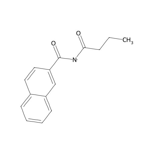 CCCC(=O)[N]C(=O)c1ccc2ccccc2c1